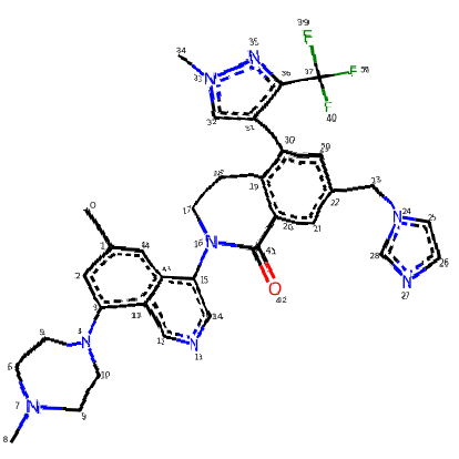 Cc1cc(N2CCN(C)CC2)c2cncc(N3CCc4c(cc(Cn5ccnc5)cc4-c4cn(C)nc4C(F)(F)F)C3=O)c2c1